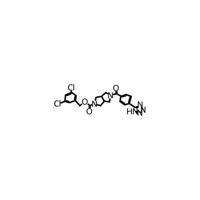 O=C(OCc1cc(Cl)cc(Cl)c1)N1CC2CN(C(=O)c3ccc(-c4nnn[nH]4)cc3)CC2C1